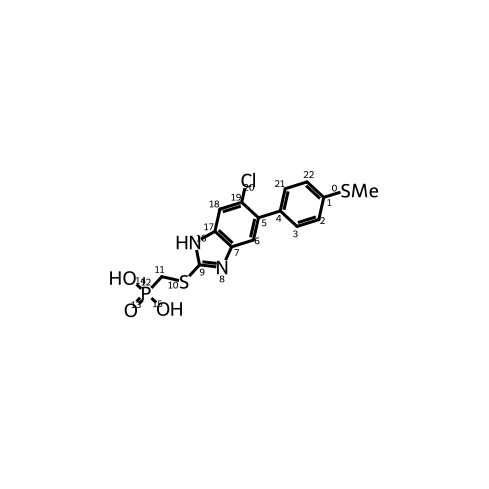 CSc1ccc(-c2cc3nc(SCP(=O)(O)O)[nH]c3cc2Cl)cc1